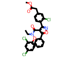 CCN(Oc1ccc(Cl)cc1Cl)C(=O)c1c(-c2ccc(CC(=O)OC)cc2Cl)noc1-c1ccccc1